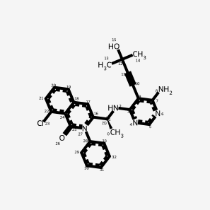 C[C@H](Nc1ncnc(N)c1C#CC(C)(C)O)c1cc2cccc(Cl)c2c(=O)n1-c1ccccc1